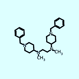 CN(CCN(C)C1CCN(Cc2ccccc2)CC1)C1CCN(Cc2ccccc2)CC1